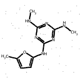 CNc1nc(NC)nc(Nc2ccc(C)o2)n1